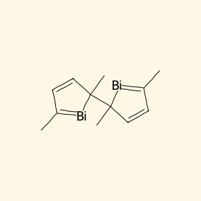 C[C]1=[Bi][C](C)([C]2(C)C=C[C](C)=[Bi]2)C=C1